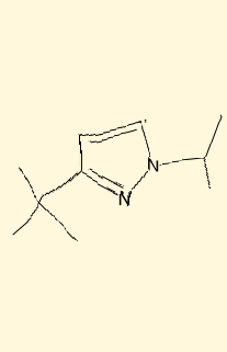 CC(C)n1[c]cc(C(C)(C)C)n1